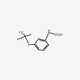 [CH2]COC(=O)Nc1cccc(OC(F)(F)C(F)(F)F)c1